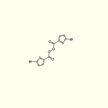 O=C(OOC(=O)c1ccc(Br)s1)c1ccc(Br)s1